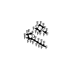 FC(F)(F)C(F)(F)C(F)(F)C(F)(F)C1(F)OC(F)(F)C(F)(F)C1(F)F.FC(F)(F)N1C(F)(F)C(F)(F)OC(F)(F)C1(F)F